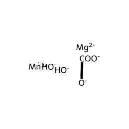 O=C([O-])[O-].[Mg+2].[Mn+2].[OH-].[OH-]